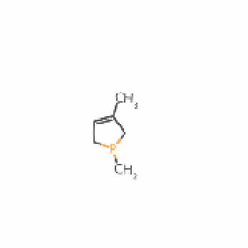 CC1=CCP(C)C1